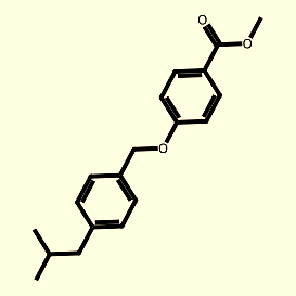 COC(=O)c1ccc(OCc2ccc(CC(C)C)cc2)cc1